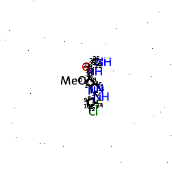 COc1cc2nc(Nc3cccc(Cl)c3F)ncc2cc1CNC(=O)[C@@H]1CCNC1